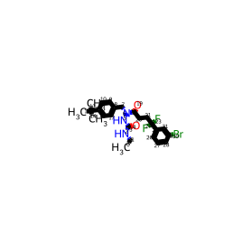 CCNC(=O)NN(Cc1ccc(C(C)(C)C)cc1)C(=O)CCC(F)(F)c1cccc(Br)c1